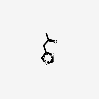 CC(=O)Cc1cnco1